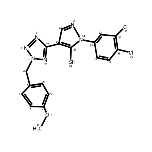 COc1ccc(Cn2nnc(-c3cnn(-c4ccc(Cl)c(Cl)c4)c3S)n2)cc1